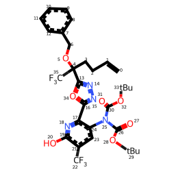 C=CCCC(OCc1ccccc1)(c1nnc(-c2nc(O)c(C(F)(F)F)cc2N(C(=O)OC(C)(C)C)C(=O)OC(C)(C)C)o1)C(F)(F)F